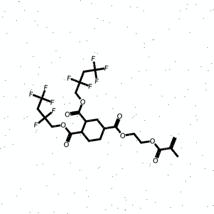 C=C(C)C(=O)OCCOC(=O)C1CCC(C(=O)OCC(F)(F)CC(F)(F)F)C(C(=O)OCC(F)(F)CC(F)(F)F)C1